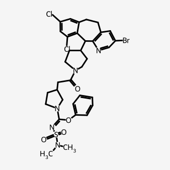 CN(C)S(=O)(=O)N=C(Oc1ccccc1)N1CCC(CC(=O)N2CCC(C3c4ncc(Br)cc4CCc4cc(Cl)cc(Cl)c43)CC2)C1